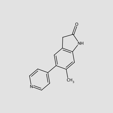 Cc1cc2c(cc1-c1ccncc1)CC(=O)N2